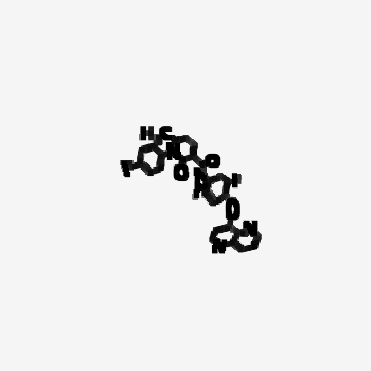 Cc1ccc(C(=O)Nc2ccc(Oc3ccnc4cccnc34)c(F)c2)c(=O)n1-c1ccc(F)cc1